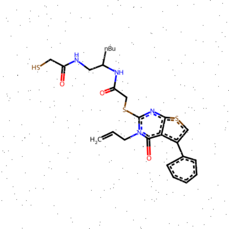 C=CCn1c(SCC(=O)NC(CCCC)CNC(=O)CS)nc2scc(-c3ccccc3)c2c1=O